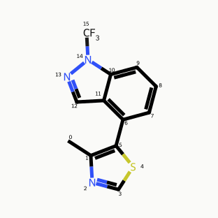 Cc1ncsc1-c1cccc2c1cnn2C(F)(F)F